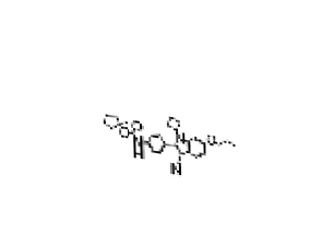 CCCOc1ccc2c(C#N)c(-c3ccc(NC(=O)OC4(C)CCCC4)cc3)n(C3CCC3)c2c1